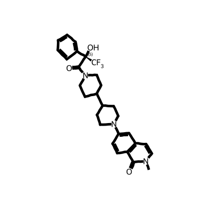 Cn1ccc2cc(N3CCC(C4CCN(C(=O)[C@@](O)(c5ccccc5)C(F)(F)F)CC4)CC3)ccc2c1=O